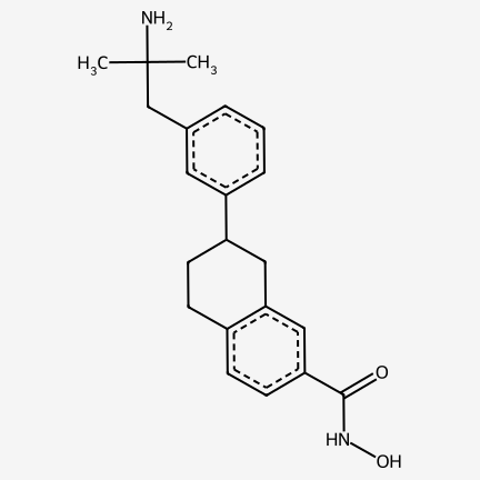 CC(C)(N)Cc1cccc(C2CCc3ccc(C(=O)NO)cc3C2)c1